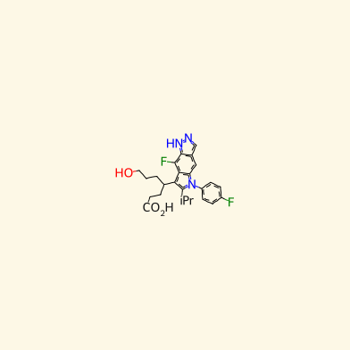 CC(C)c1c(C(CCCO)CCC(=O)O)c2c(F)c3[nH]ncc3cc2n1-c1ccc(F)cc1